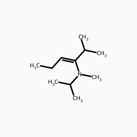 CC/C=C(/C(C)C)N(C)C(C)C